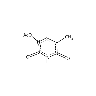 CC(=O)On1cc(C)c(=O)[nH]c1=O